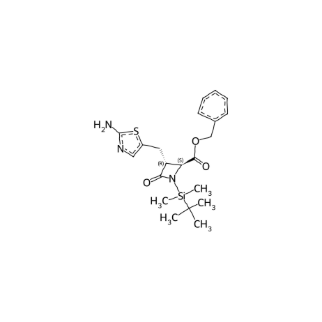 CC(C)(C)[Si](C)(C)N1C(=O)[C@H](Cc2cnc(N)s2)[C@H]1C(=O)OCc1ccccc1